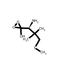 CSCC(C)(C)[C@H](N)C1(O)OO1